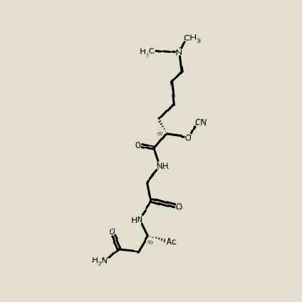 CC(=O)[C@H](CC(N)=O)NC(=O)CNC(=O)[C@H](CCCCN(C)C)OC#N